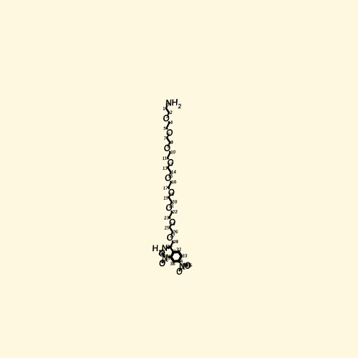 NCCOCCOCCOCCOCCOCCOCCOCCOCCOCC(N)c1ccc([N+](=O)[O-])cc1[N+](=O)[O-]